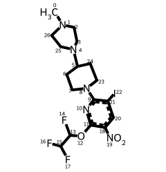 CN1CCN(C2CCN(c3nc(OC(F)C(F)F)c([N+](=O)[O-])cc3I)CC2)CC1